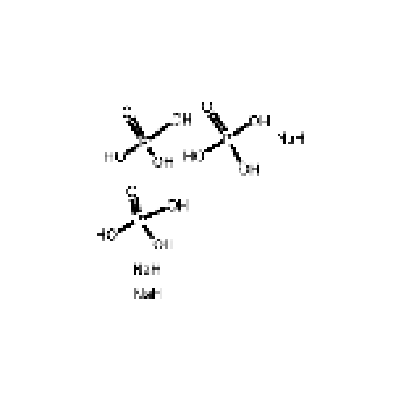 O=P(O)(O)O.O=P(O)(O)O.O=P(O)(O)O.[NaH].[NaH].[NaH]